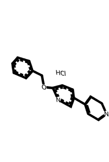 C1=C(c2ccc(OCc3ccccc3)nc2)CCNC1.Cl